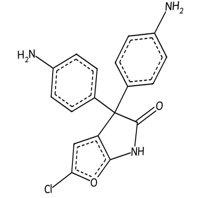 Nc1ccc(C2(c3ccc(N)cc3)C(=O)Nc3oc(Cl)cc32)cc1